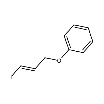 I/C=C/COc1ccccc1